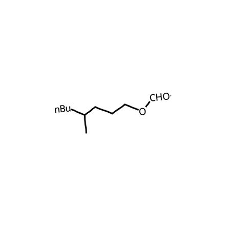 CCCCC(C)CCCO[C]=O